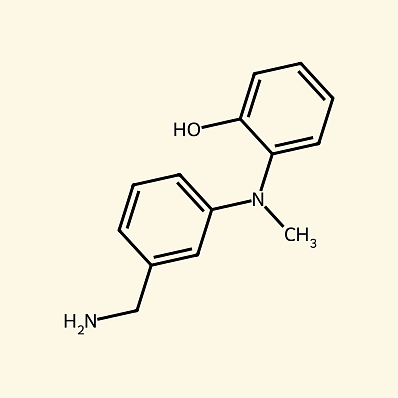 CN(c1cccc(CN)c1)c1ccccc1O